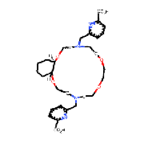 O=C(O)c1cccc(CN2CCOCCOCCN(Cc3cccc(C(=O)O)n3)CCO[C@@H]3CCCC[C@H]3OCC2)n1